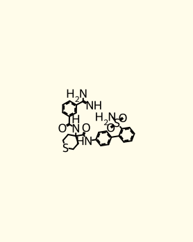 N=C(N)c1cccc(C(=O)NC2(C(=O)Nc3ccc(-c4ccccc4S(N)(=O)=O)cc3)CCSCC2)c1